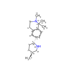 C[C@H]1CC[C@H](c2ccc3c(c2)CCN(C)C3(C)C)NC1